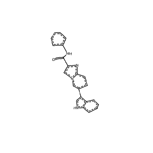 O=C(Nc1ccccc1)c1cn2cc(-c3c[nH]c4ccccc34)ccc2n1